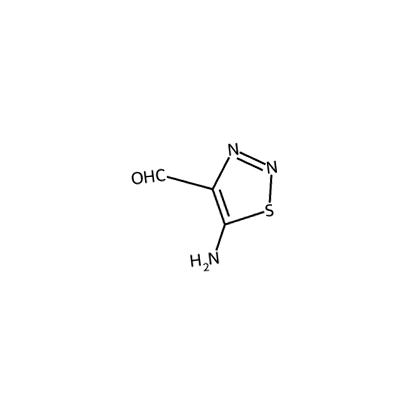 Nc1snnc1C=O